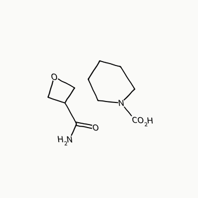 NC(=O)C1COC1.O=C(O)N1CCCCC1